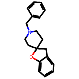 c1ccc(CN2CCC3(CC2)Cc2ccccc2O3)cc1